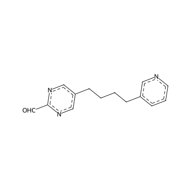 O=Cc1ncc(CCCCc2cccnc2)cn1